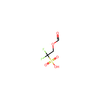 O=COCC(F)(F)S(=O)(=O)O